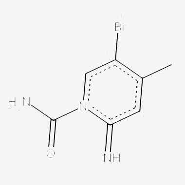 Cc1cc(=N)n(C(N)=O)cc1Br